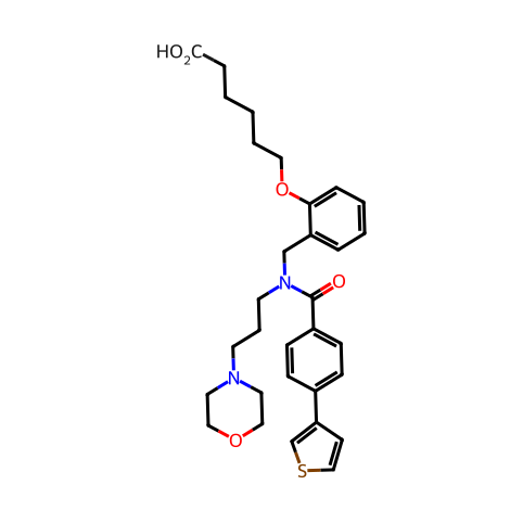 O=C(O)CCCCCOc1ccccc1CN(CCCN1CCOCC1)C(=O)c1ccc(-c2ccsc2)cc1